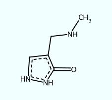 CNCc1c[nH][nH]c1=O